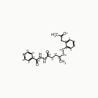 CC(=O)Cc1ccccc1SSC(C)CCC(=O)NNC(=O)c1ccncc1